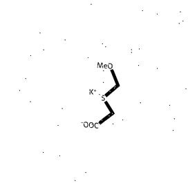 COCSCC(=O)[O-].[K+]